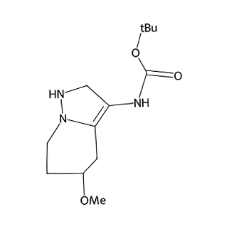 COC1CCN2NCC(NC(=O)OC(C)(C)C)=C2C1